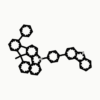 CC1(c2ccccc2)c2cccc(-c3ccccc3)c2-c2ccc3c(c21)c1ccccc1n3-c1ccc(-c2ccc3sc4ccccc4c3c2)cc1